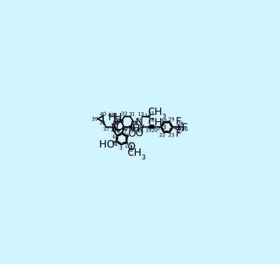 COc1cc(O)c2c3c1O[C@H]1[C@@H](N(CC(C)C)C(=O)C#Cc4ccc(C(F)(F)F)cc4)CC[C@H]4[C@@H](C2)N(CC2CC2)CC[C@@]341